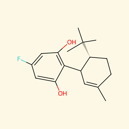 CC1=CC(c2c(O)cc(F)cc2O)[C@H](C(C)(C)C)CC1